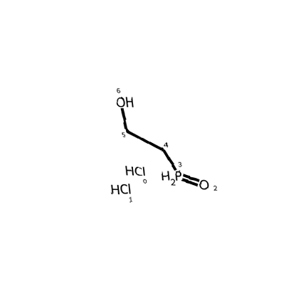 Cl.Cl.O=[PH2]CCO